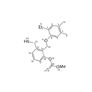 CCc1cc(C)c(C)cc1OCc1c(CS)cccc1OC(=O)OC